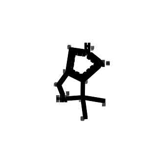 CC1(C)NCc2c[nH]nc21